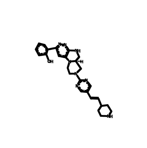 Oc1ccccc1-c1cc2c(nn1)NC[C@H]1CN(c3ncc(/C=C/C4CCNCC4)cn3)CCN21